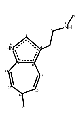 CNCCc1c[nH]c2c1C=CC(C)C=C2